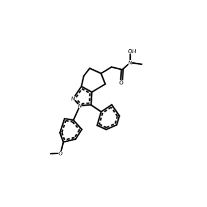 COc1ccc(-n2nc3c(c2-c2ccccc2)CC(CC(=O)N(C)O)CC3)cc1